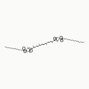 CCCCCCCCCCCCCCCC(=O)O[C@H]1CC(C)(C)[C@]2(/C=C/C(C)=C/C=C/C(C)=C/C=C/C=C(C)/C=C/C=C(C)/C=C/[C@@]34O[C@]3(C)C[C@@H](OC(=O)CCCCCCCCCCCCC)CC4(C)C)O[C@]2(C)C1